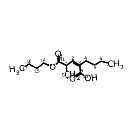 [CH2]C(C=C(CCCC)C(=O)O)C(=O)OCCCC